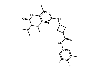 Cc1nc(NC2CN(C(=O)Nc3cc(F)c(F)c(F)c3)C2)nc2c1NC(=O)[C@H](C(C)C)N2C